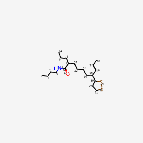 CCCCNC(=O)C(CCC)CCCCC(CCC)C1CCSS1